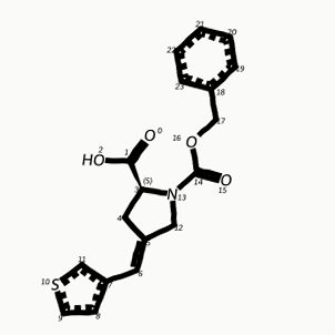 O=C(O)[C@@H]1CC(=Cc2ccsc2)CN1C(=O)OCc1ccccc1